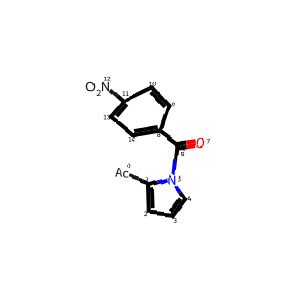 CC(=O)c1cccn1C(=O)c1ccc([N+](=O)[O-])cc1